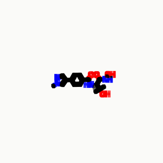 Cn1cc(-c2ccc(C(=O)N[C@H](C(=O)NO)C(C)(C)O)cc2)cn1